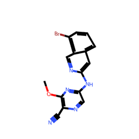 COc1nc(Nc2cc3cccc(Br)c3cn2)cnc1C#N